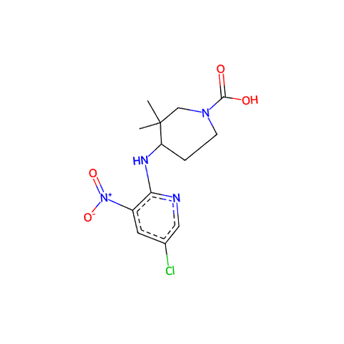 CC1(C)CN(C(=O)O)CCC1Nc1ncc(Cl)cc1[N+](=O)[O-]